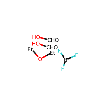 CCOCC.FB(F)F.O=CO.O=CO